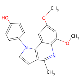 COc1cc(OC)c2nc(C)c3ccn(-c4ccc(O)cc4)c3c2c1